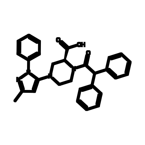 Cc1cc(N2CCN(C(=O)C(c3ccccc3)c3ccccc3)[C@H](C(=O)O)C2)n(-c2ccccc2)n1